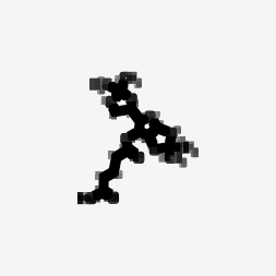 CC1(C)OCC(C2OC3OC(C)(C)OC3C2OC(=O)CCCC(=O)O)O1